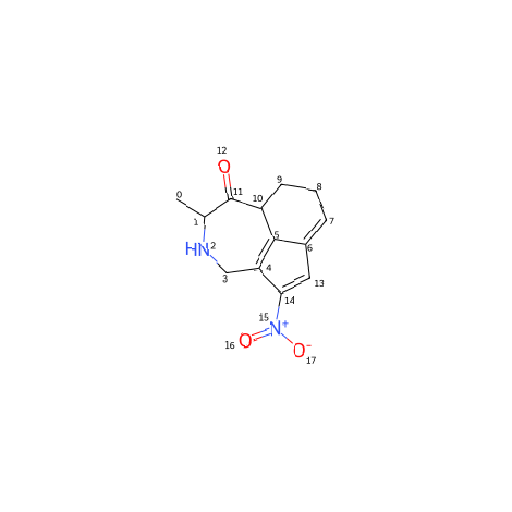 CC1NCC2=C3C(=CCCC3C1=O)C=C2[N+](=O)[O-]